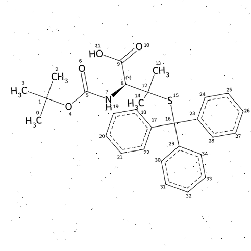 CC(C)(C)OC(=O)N[C@@H](C(=O)O)C(C)(C)SC(c1ccccc1)(c1ccccc1)c1ccccc1